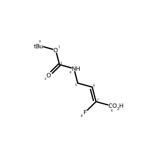 CC(C)(C)OC(=O)NCC=C(F)C(=O)O